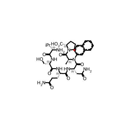 CC(C)[C@H](N)C(=O)N[C@@H](CO)C(=O)N[C@@H](CCC(N)=O)C(=O)N[C@@H](CC(N)=O)C(=O)N(c1ccc2ccccc2c1)[C@@H](C)C(=O)N1CCC[C@H]1C(=O)O